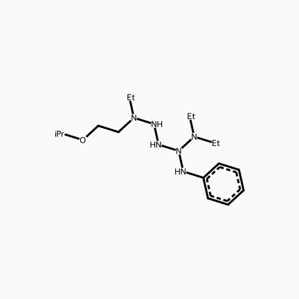 CCN(CCOC(C)C)NNN(Nc1ccccc1)N(CC)CC